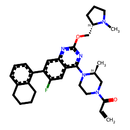 C=CC(=O)N1CCN(c2nc(OC[C@@H]3CCCN3C)nc3cc(-c4cccc5c4CCCC5)c(F)cc23)[C@@H](C)C1